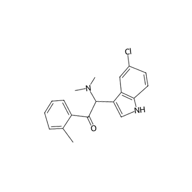 Cc1ccccc1C(=O)C(c1c[nH]c2ccc(Cl)cc12)N(C)C